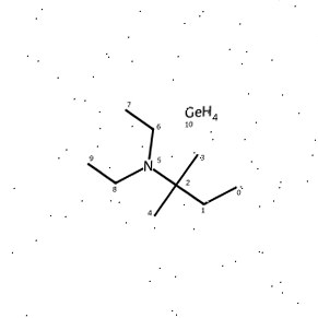 [CH2]CC(C)(C)N(CC)CC.[GeH4]